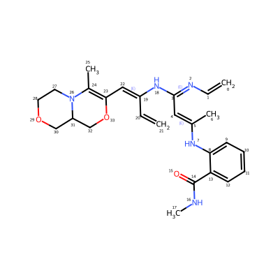 C=C/N=C(\C=C(/C)Nc1ccccc1C(=O)NC)N/C(C=C)=C/C1=C(C)N2CCOCC2CO1